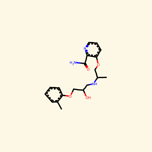 Cc1ccccc1OCC(O)CNC(C)COc1cccnc1C(N)=O